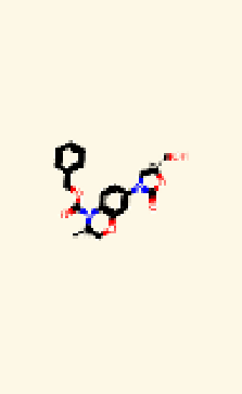 C[C@@H]1COc2cc(N3C[C@H](CO)OC3=O)ccc2N1C(=O)OCc1ccccc1